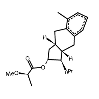 CCC[C@@H]1[C@H]2Cc3cccc(C)c3C[C@H]2C[C@H]1OC(=O)[C@@H](C)OC